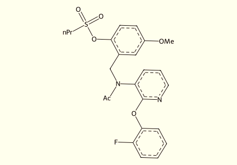 CCCS(=O)(=O)Oc1ccc(OC)cc1CN(C(C)=O)c1cccnc1Oc1ccccc1F